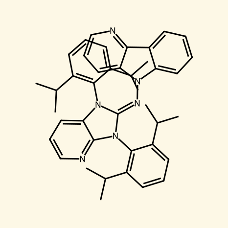 CC(C)c1cccc(C(C)C)c1-n1/c(=N\n2c3ccccc3c3ncccc32)n(-c2c(C(C)C)cccc2C(C)C)c2ncccc21